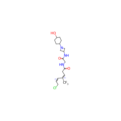 O=C(C/C=C(\C=C/CCl)C(F)(F)F)NCC(=O)NC1CN(C2CCC(O)CC2)C1